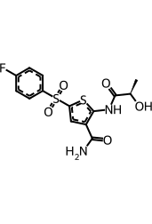 C[C@@H](O)C(=O)Nc1sc(S(=O)(=O)c2ccc(F)cc2)cc1C(N)=O